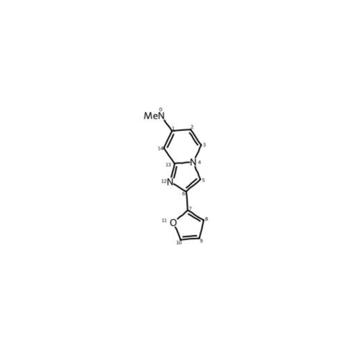 CNc1ccn2cc(-c3ccco3)nc2c1